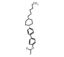 CCCCCC[C@H]1CC[C@H](c2ccc(-c3ccc(OC(F)F)cc3)cc2)CC1